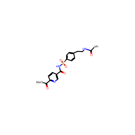 CCCC(=O)NCCc1ccc(S(=O)(=O)NC(=O)c2ccc(C(=O)OC)nc2)cc1